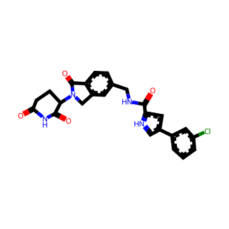 O=C1CCC(N2Cc3cc(CNC(=O)c4cc(-c5cccc(Cl)c5)c[nH]4)ccc3C2=O)C(=O)N1